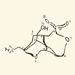 CC12CC3C(O1)C(OS3(=O)=O)C2O